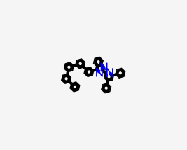 c1ccc(-c2cccc(-c3cccc(-c4cccc(-c5cccc(-c6nc(-c7cc(-c8ccccc8)cc(-c8ccccc8)n7)nc7ccccc67)c5)c4)c3)c2)cc1